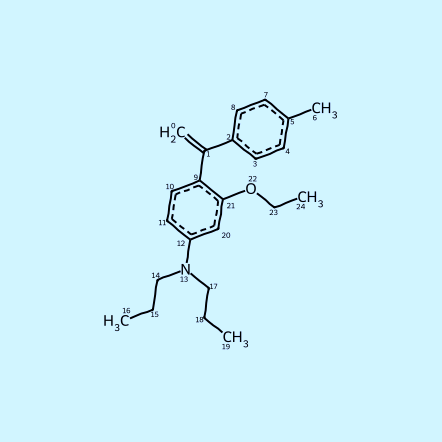 C=C(c1ccc(C)cc1)c1ccc(N(CCC)CCC)cc1OCC